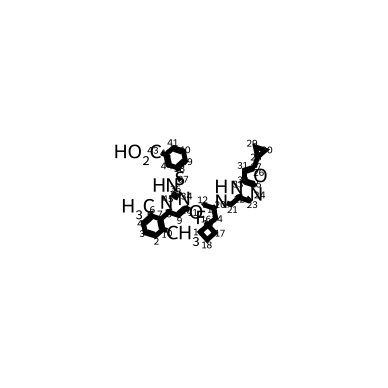 Cc1cccc(C)c1-c1cc(OCC(CC2(F)CCC2)NCc2cnc3oc(C4CC4)cc3n2)nc(NSc2cccc(C(=O)O)c2)n1